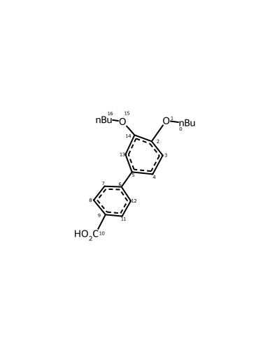 CCCCOc1ccc(-c2ccc(C(=O)O)cc2)cc1OCCCC